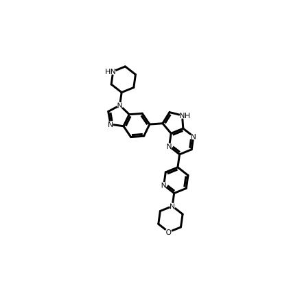 c1cc(N2CCOCC2)ncc1-c1cnc2[nH]cc(-c3ccc4ncn(C5CCCNC5)c4c3)c2n1